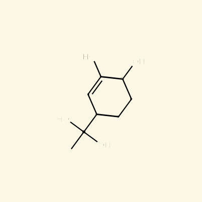 CC(O)(O)C1C=C(O)C(O)CC1